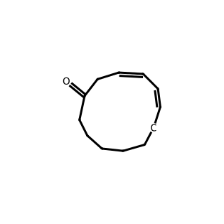 O=C1CC=CC=CCCCCCC1